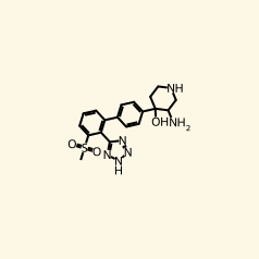 CS(=O)(=O)c1cccc(-c2ccc(C3(O)CCNCC3N)cc2)c1-c1nn[nH]n1